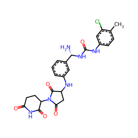 Cc1ccc(NC(=O)N[C@@H](N)c2cccc(NC3CC(=O)N(C4CCC(=O)NC4=O)C3=O)c2)cc1Cl